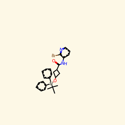 CC(C)(C)[Si](OC1CC(C(=O)Nc2cccnc2Br)C1)(c1ccccc1)c1ccccc1